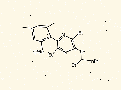 CCCC(CC)Oc1nc(CC)c(-c2c(C)cc(C)cc2OC)nc1CC